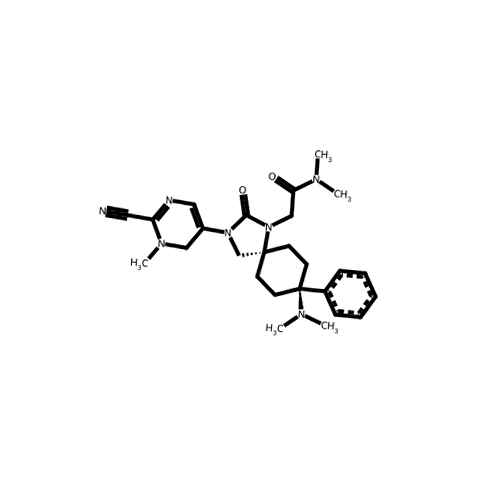 CN(C)C(=O)CN1C(=O)N(C2=CN=C(C#N)N(C)C2)C[C@]12CC[C@](c1ccccc1)(N(C)C)CC2